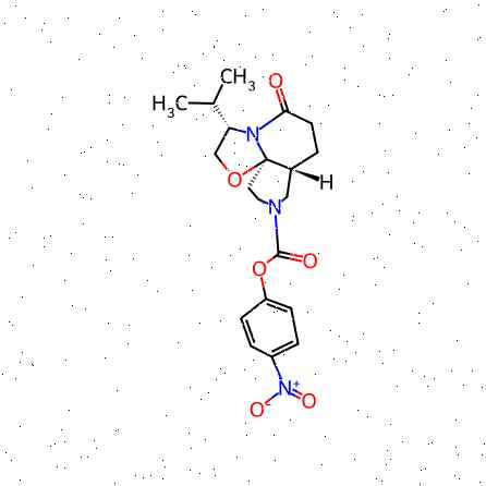 CC(C)[C@H]1CO[C@]23CCN(C(=O)Oc4ccc([N+](=O)[O-])cc4)C[C@H]2CCC(=O)N13